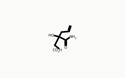 C=CCC(O)(CC(=O)O)C(N)=O